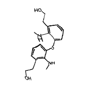 CNc1c(CCO)cccc1Sc1cccc(CCO)c1NC